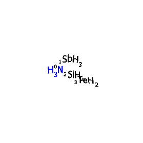 N.[SbH3].[SiH4].[TeH2]